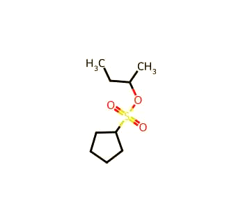 CCC(C)OS(=O)(=O)C1CCCC1